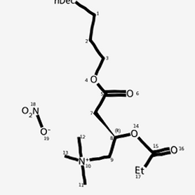 CCCCCCCCCCCCCOC(=O)C[C@H](C[N+](C)(C)C)OC(=O)CC.O=[N+]([O-])[O-]